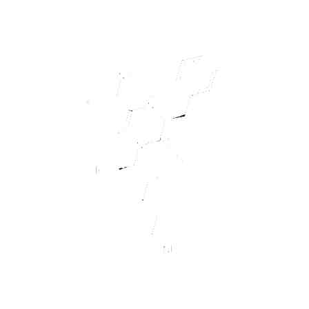 CC(C)[C@H](N)C(=O)N[C@@H](Cc1ccccc1)C(=O)N[C@@H](CCCCN)C(=O)O